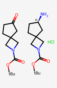 CC(C)(C)OC(=O)N1CC2(CCC(=O)C2)C1.CC(C)(C)OC(=O)N1CC2(CC[C@@H](N)C2)C1.Cl